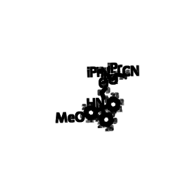 COc1ccc(C(NCCCOP(OCCC#N)N(C(C)C)C(C)C)(c2ccccc2)c2ccccc2)cc1